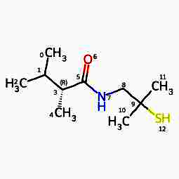 CC(C)[C@@H](C)C(=O)NCC(C)(C)S